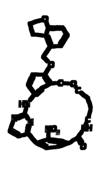 O=C1NCCCCOCc2cc(ccc2OCc2cccc3c2CCO3)Nc2nccc(n2)-c2ccc1cc2[N+](=O)[O-]